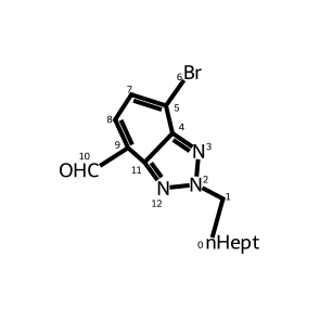 CCCCCCCCn1nc2c(Br)ccc(C=O)c2n1